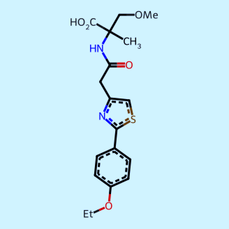 CCOc1ccc(-c2nc(CC(=O)NC(C)(COC)C(=O)O)cs2)cc1